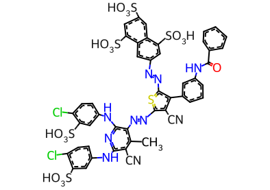 Cc1c(C#N)c(Nc2ccc(Cl)c(S(=O)(=O)O)c2)nc(Nc2ccc(Cl)c(S(=O)(=O)O)c2)c1N=Nc1sc(/N=N/c2cc(S(=O)(=O)O)c3cc(S(=O)(=O)O)cc(S(=O)(=O)O)c3c2)c(-c2cccc(NC(=O)c3ccccc3)c2)c1C#N